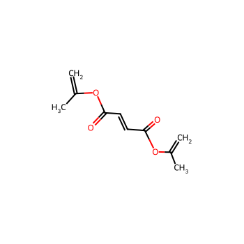 C=C(C)OC(=O)C=CC(=O)OC(=C)C